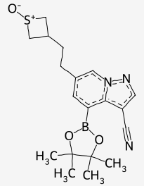 CC1(C)OB(c2cc(CCC3C[S+]([O-])C3)cn3ncc(C#N)c23)OC1(C)C